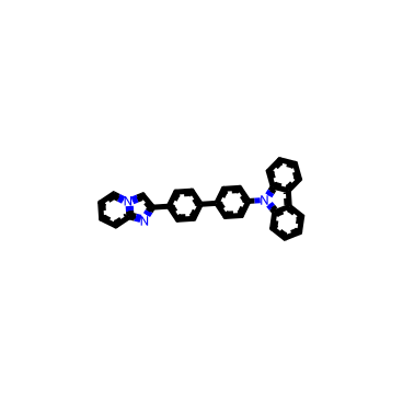 c1ccc2c(c1)c1ccccc1n2-c1ccc(-c2ccc(-c3cn4ccccc4n3)cc2)cc1